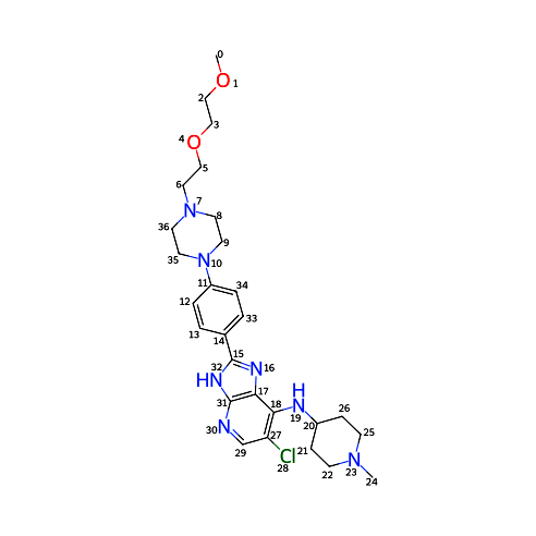 COCCOCCN1CCN(c2ccc(-c3nc4c(NC5CCN(C)CC5)c(Cl)cnc4[nH]3)cc2)CC1